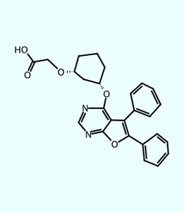 O=C(O)CO[C@@H]1CCC[C@H](Oc2ncnc3oc(-c4ccccc4)c(-c4ccccc4)c23)C1